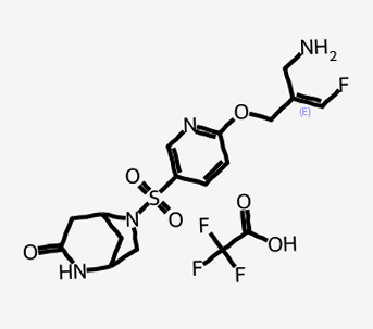 NC/C(=C\F)COc1ccc(S(=O)(=O)N2CC3CC2CC(=O)N3)cn1.O=C(O)C(F)(F)F